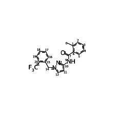 Cc1ccccc1C(=O)Nc1ccn(Cc2ccccc2C(F)(F)F)n1